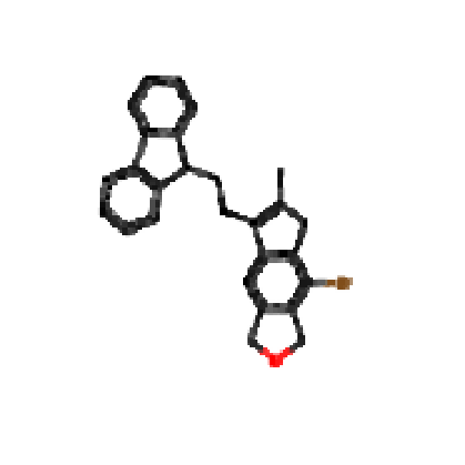 CC1=C(CCC2c3ccccc3-c3ccccc32)c2cc3c(c(Br)c2C1)COC3